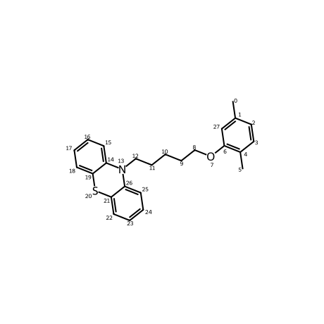 Cc1ccc(C)c(OCCCCCN2c3ccccc3Sc3ccccc32)c1